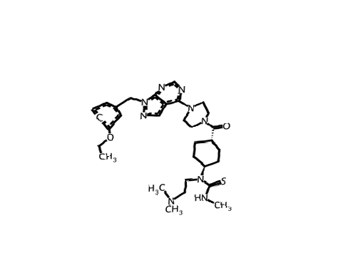 CCOc1cccc(Cn2ncc3c(N4CCN(C(=O)[C@H]5CC[C@H](N(CCN(C)C)C(=S)NC)CC5)CC4)ncnc32)c1